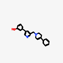 Oc1cccc(-c2cncc(CN3CC=C(c4ccccc4)CC3)c2)c1